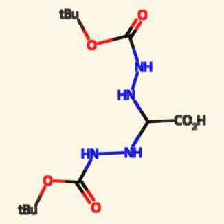 CC(C)(C)OC(=O)NNC(NNC(=O)OC(C)(C)C)C(=O)O